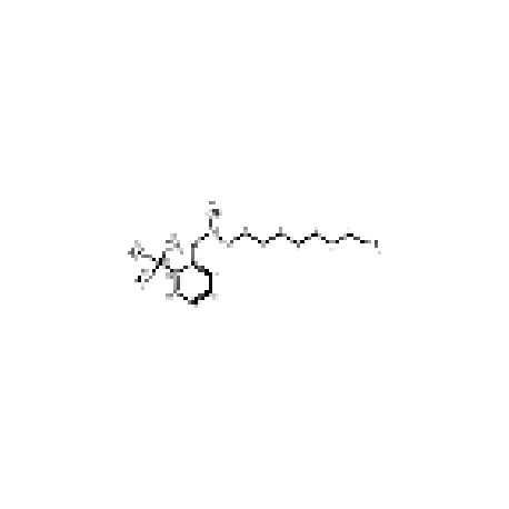 CCCCCCCCOP(O)Oc1ccccc1C(C)(C)C